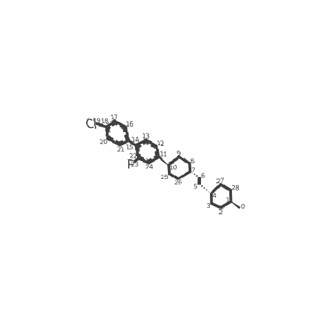 C[C@H]1CC[C@H](CC[C@H]2CC[C@H](c3ccc(-c4ccc(Cl)cc4)c(F)c3)CC2)CC1